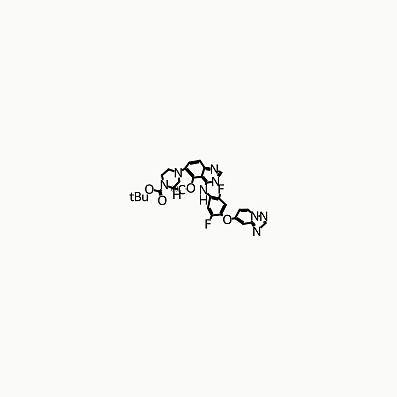 CC(C)(C)OC(=O)N1CCN2C[C@@H]1COc1c2ccc2ncnc(Nc3cc(F)c(Oc4ccn5ncnc5c4)cc3F)c12